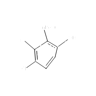 CCCCCc1c(O)ccc(Cl)c1Cl